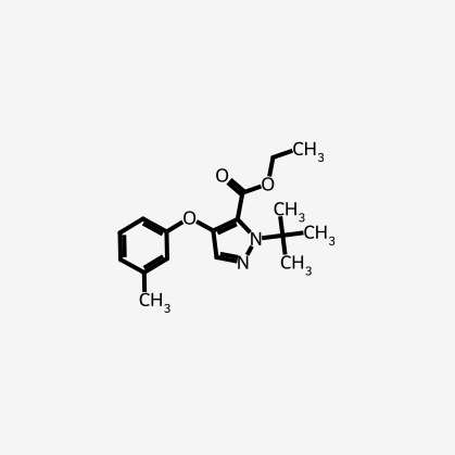 CCOC(=O)c1c(Oc2cccc(C)c2)cnn1C(C)(C)C